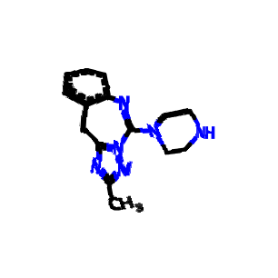 Cc1nc2n(n1)C(N1CCNCC1)=Nc1ccccc1C2